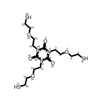 O=c1n(CCOCCS)c(=O)n(CCOCCS)c(=O)n1CCOCCS